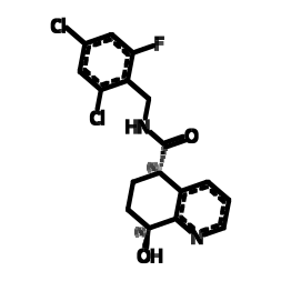 O=C(NCc1c(F)cc(Cl)cc1Cl)[C@H]1CC[C@H](O)c2ncccc21